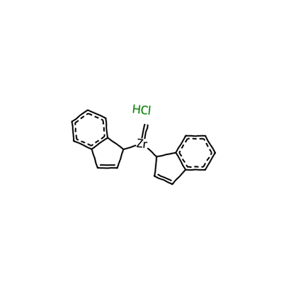 Cl.[CH2]=[Zr]([CH]1C=Cc2ccccc21)[CH]1C=Cc2ccccc21